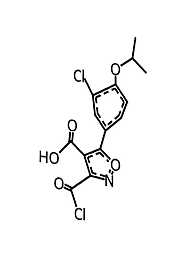 CC(C)Oc1ccc(-c2onc(C(=O)Cl)c2C(=O)O)cc1Cl